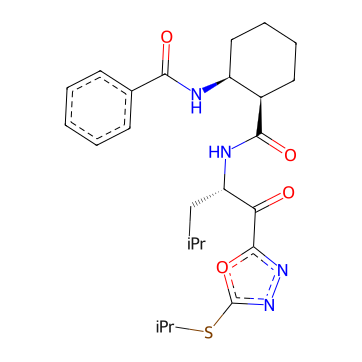 CC(C)C[C@H](NC(=O)[C@@H]1CCCC[C@@H]1NC(=O)c1ccccc1)C(=O)c1nnc(SC(C)C)o1